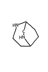 C1CC2CC[C](CN2)N1